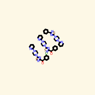 O=C(c1cccc(Cl)c1)c1nsc(N2CCN(c3ccccn3)CC2)n1.O=C(c1ccccc1)c1nsc(N2CCN(c3ccccn3)CC2)n1.c1ccc(-c2nsc(N3CCN(c4ccccn4)CC3)n2)cc1